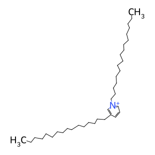 CCCCCCCCCCCCCCCCC[n+]1cccc(CCCCCCCCCCCCCCCC)c1